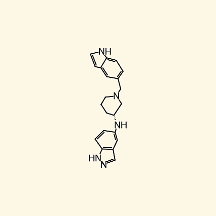 c1cc2cc(CN3CCC[C@@H](Nc4ccc5[nH]ncc5c4)C3)ccc2[nH]1